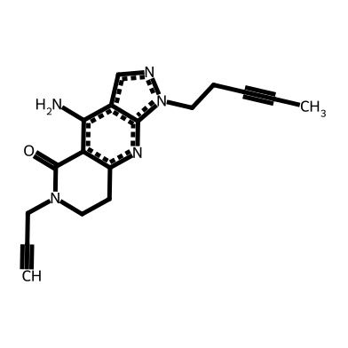 C#CCN1CCc2nc3c(cnn3CCC#CC)c(N)c2C1=O